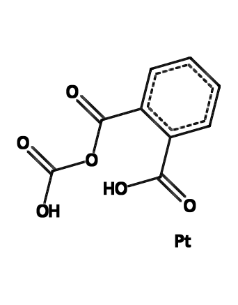 O=C(O)OC(=O)c1ccccc1C(=O)O.[Pt]